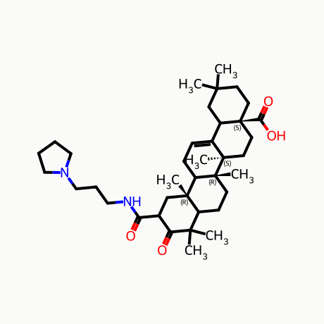 CC1(C)CC[C@]2(C(=O)O)CC[C@]3(C)C(=CCC4[C@@]5(C)CC(C(=O)NCCCN6CCCC6)C(=O)C(C)(C)C5CC[C@]43C)C2C1